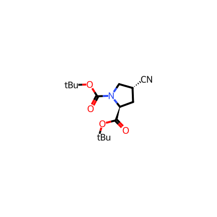 CC(C)(C)OC(=O)[C@@H]1C[C@@H](C#N)CN1C(=O)OC(C)(C)C